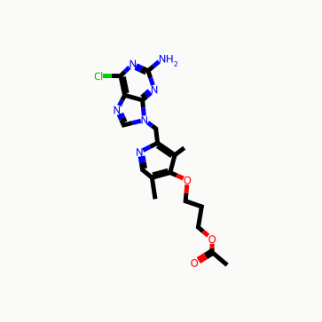 CC(=O)OCCCOc1c(C)cnc(Cn2cnc3c(Cl)nc(N)nc32)c1C